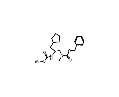 CN(C[C@H](CC1CCCC1)NC(=O)OC(C)(C)C)C(=O)OCc1ccccc1